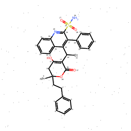 CCCC1(CCc2ccccc2)CC(O)=C(C(CC)c2c(-c3ccccc3)c(S(N)(=O)=O)nc3ccccc23)C(=O)O1